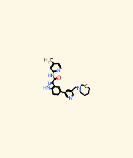 Cc1ccnc(NC(=O)c2n[nH]c3ccc(-c4cncc(CN5CCCCCC5)c4)cc23)c1